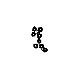 c1ccc(N(c2ccc(-c3ccc4c5c6ccccc6n(-c6ccccc6)c5n(-c5ccccc5)c4c3)cc2)c2ccc3c(c2)sc2ccccc23)cc1